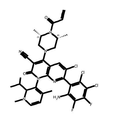 C=CC(=O)N1[C@H](C)CN(c2c(C#N)c(=O)n(C3=C(C)C=CN(C)C3C(C)C)c3nc(-c4c(N)c(F)c(F)c(Cl)c4Cl)c(Cl)cc23)C[C@@H]1C